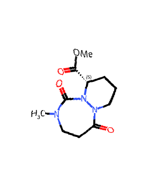 COC(=O)[C@@H]1CCCN2C(=O)CCN(C)C(=O)N12